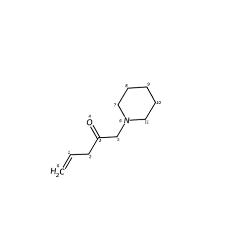 C=CCC(=O)CN1CCCCC1